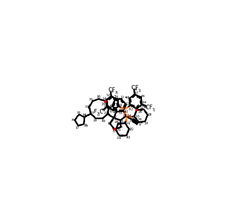 C#CC(C1CCCC1(c1ccccc1P(C1CCCCC1)C1CCCCC1)C1CCCCCC(C2CCCC2)CC1)P(c1cc(C(F)(F)F)cc(C(F)(F)F)c1)c1cc(C(F)(F)F)cc(C(F)(F)F)c1